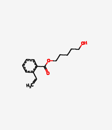 C=Cc1ccccc1C(=O)OCCCCCO